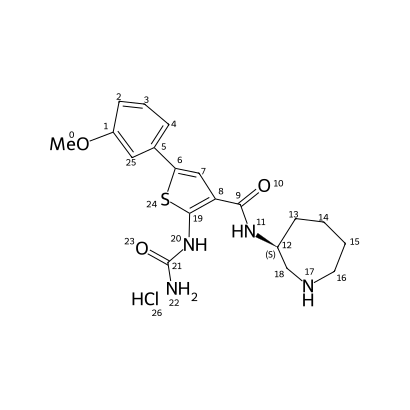 COc1cccc(-c2cc(C(=O)N[C@H]3CCCCNC3)c(NC(N)=O)s2)c1.Cl